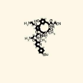 Cc1nc(-c2ccc(C(C)(C)C)cc2)ccc1C(=O)N[C@@H](CCN)C(=O)N(C)[C@@H]1C(=O)N[C@@H](C)C(=O)N[C@H](C(=O)NCC#N)Cc2ccc(O)c(c2)-c2cc1ccc2OCCN